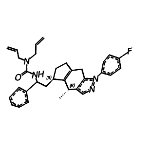 C=CCN(CC=C)C(=O)NC(C[C@H]1CCC2=C1[C@@H](C)c1cnn(-c3ccc(F)cc3)c1C2)c1ccccc1